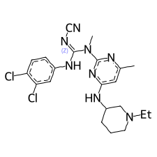 CCN1CCCC(Nc2cc(C)nc(N(C)/C(=N\C#N)Nc3ccc(Cl)c(Cl)c3)n2)C1